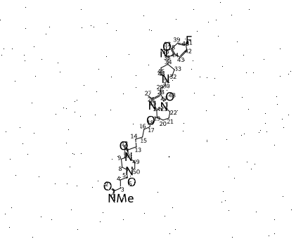 CNC(=O)CCC(=O)N1CCN(C(=O)CCCCCOC2CCCn3c2nc(C)c(CCN2CCC(c4noc5cc(F)ccc45)CC2)c3=O)CC1